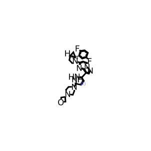 N=C(/C=C\C(=N)N1CCN(C2COC2)CC1)c1cnn2ccc(N3CC[C@H]4C[C@]43c3cc(F)ccc3F)nc12